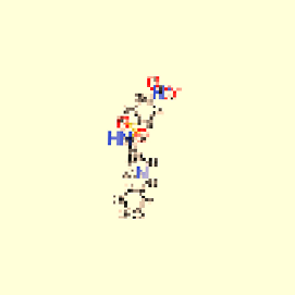 O=[N+]([O-])c1ccc(S(=O)(=O)NC2C3CN(Cc4ccccc4)CC32)cc1